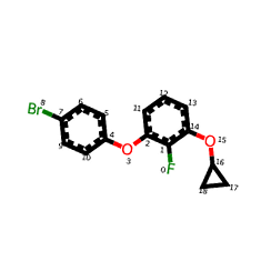 Fc1c(Oc2ccc(Br)cc2)cccc1OC1CC1